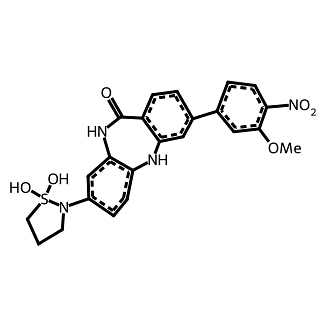 COc1cc(-c2ccc3c(c2)Nc2ccc(N4CCCS4(O)O)cc2NC3=O)ccc1[N+](=O)[O-]